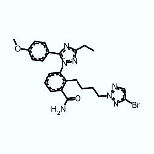 CCc1nc(-c2ccc(OC)cc2)n(-c2cccc(C(N)=O)c2CCCCn2ncc(Br)n2)n1